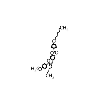 CCCCCCCOc1ccc(C(=O)Oc2ccc(CN(CCCCC)C(=O)c3ccc(OC)cc3)cc2)cc1